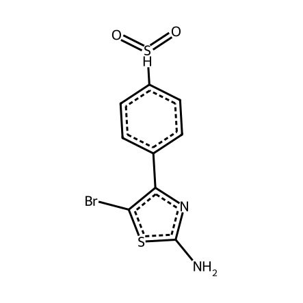 Nc1nc(-c2ccc([SH](=O)=O)cc2)c(Br)s1